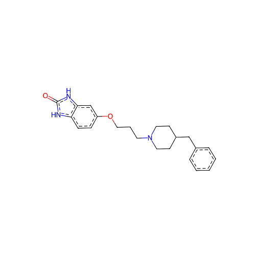 O=c1[nH]c2ccc(OCCCN3CCC(Cc4ccccc4)CC3)cc2[nH]1